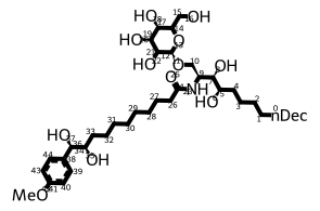 CCCCCCCCCCCCCC[C@@H](O)[C@@H](O)[C@H](CO[C@H]1OC(CO)[C@H](O)[C@H](O)C1O)NC(=O)CCCCCCCC[C@@H](O)[C@H](O)c1ccc(OC)cc1